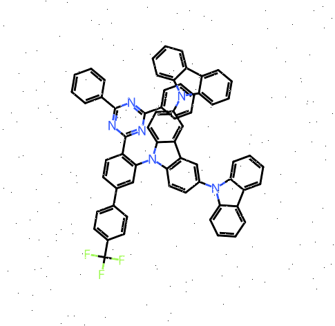 FC(F)(F)c1ccc(-c2ccc(-c3nc(-c4ccccc4)nc(-c4ccccc4)n3)c(-n3c4ccc(-n5c6ccccc6c6ccccc65)cc4c4cc(-n5c6ccccc6c6ccccc65)ccc43)c2)cc1